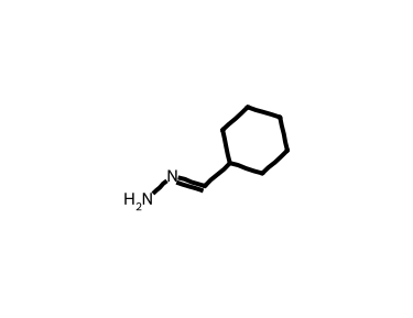 N/N=C/C1CCCCC1